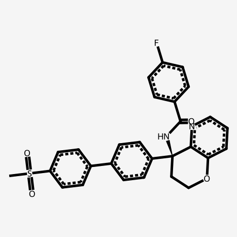 CS(=O)(=O)c1ccc(-c2ccc([C@@]3(NC(=O)c4ccc(F)cc4)CCOc4cccnc43)cc2)cc1